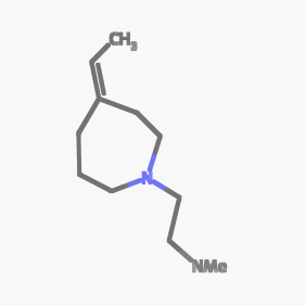 C/C=C1/CCCN(CCNC)CC1